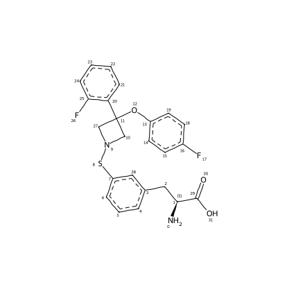 N[C@@H](Cc1cccc(SN2CC(Oc3ccc(F)cc3)(c3ccccc3F)C2)c1)C(=O)O